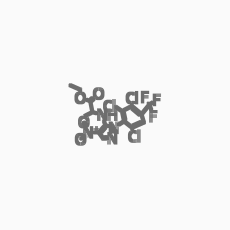 CCOC(=O)C(C)Nc1c([N+](=O)[O-])cnn1-c1c(Cl)cc(C(F)(F)F)c(Cl)c1Cl